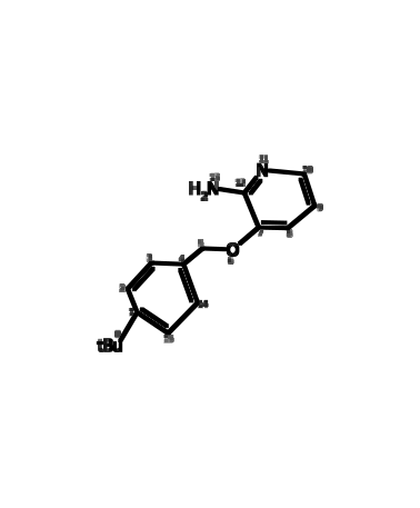 CC(C)(C)c1ccc(COc2cccnc2N)cc1